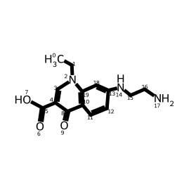 CCn1cc(C(=O)O)c(=O)c2ccc(NCCN)cc21